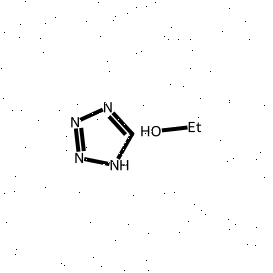 CCO.c1nnn[nH]1